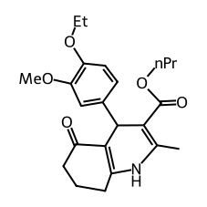 CCCOC(=O)C1=C(C)NC2=C(C(=O)CCC2)C1c1ccc(OCC)c(OC)c1